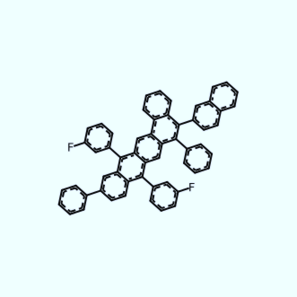 Fc1cccc(-c2c3ccc(-c4ccccc4)cc3c(-c3cccc(F)c3)c3cc4c(cc23)c(-c2ccccc2)c(-c2ccc3ccccc3c2)c2ccccc24)c1